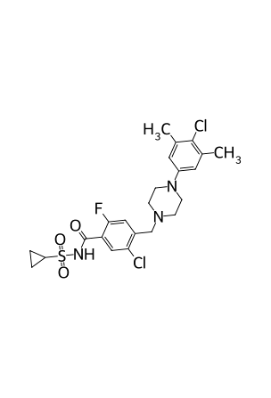 Cc1cc(N2CCN(Cc3cc(F)c(C(=O)NS(=O)(=O)C4CC4)cc3Cl)CC2)cc(C)c1Cl